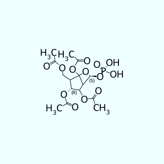 CC(=O)OCC1[C@@H](OC(C)=O)C(OC(C)=O)C2[C@H](OP(=O)(O)O)OC21OC(C)=O